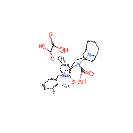 COc1ccc(C)cc1N(C(=O)O)C1CC2CCCC(C1)N2CCCCNCc1cccc(I)c1.O=C(O)C(=O)O